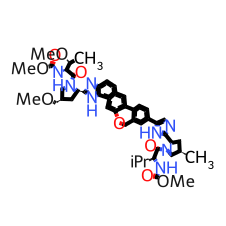 COC[C@H]1C[C@@H](c2nc3ccc4cc5c(cc4c3[nH]2)OCc2cc(-c3cnc(C4C[C@H](C)CN4C(=O)[C@@H](NC(=O)OC)C(C)C)[nH]3)ccc2-5)N(C(=O)[C@@H](NC(=O)OC)[C@@H](C)OC)C1